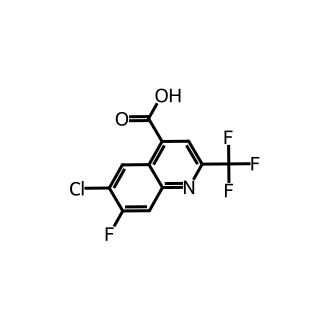 O=C(O)c1cc(C(F)(F)F)nc2cc(F)c(Cl)cc12